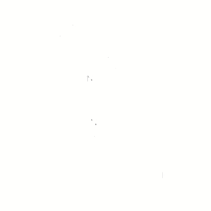 COC(=O)CCC(=O)N(C1CC1)C1c2ccccc2N(C(=O)c2ccc(OC(F)(F)F)cc2)C2CCC21